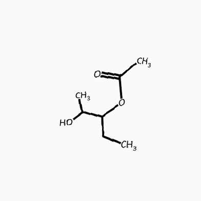 CCC(OC(C)=O)C(C)O